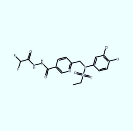 CCS(=O)(=O)N(Cc1ccc(C(=O)NNC(=O)C(F)F)cn1)c1ccc(Cl)c(Cl)c1